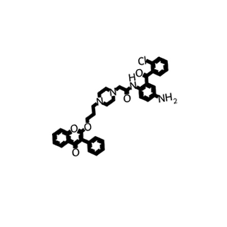 Nc1ccc(NC(=O)CN2CCN(CCCOc3oc4ccccc4c(=O)c3-c3ccccc3)CC2)c(C(=O)c2ccccc2Cl)c1